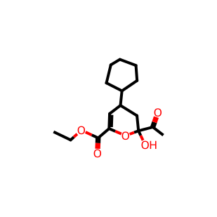 CCOC(=O)C1=CC(C2CCCCC2)CC(O)(C(C)=O)O1